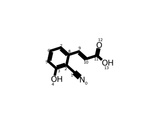 N#Cc1c(O)cccc1C=CC(=O)O